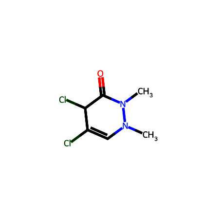 CN1C=C(Cl)C(Cl)C(=O)N1C